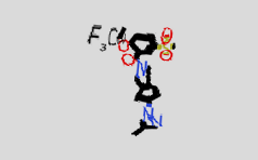 Cc1cnn(-c2ccc3c(c2)CN(C(=O)c2cc(S(C)(=O)=O)ccc2O[C@@H](C)C(F)(F)F)C3)c1